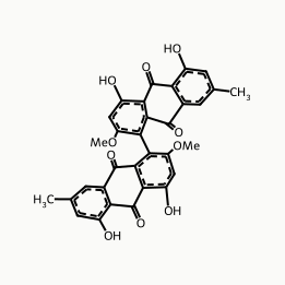 COc1cc(O)c2c(c1-c1c(OC)cc(O)c3c1C(=O)c1cc(C)cc(O)c1C3=O)C(=O)c1cc(C)cc(O)c1C2=O